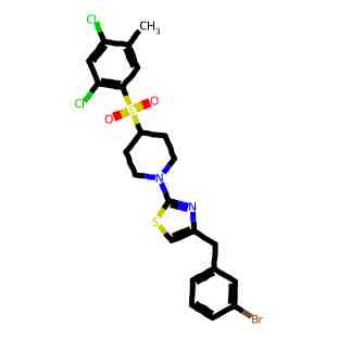 Cc1cc(S(=O)(=O)C2CCN(c3nc(Cc4cccc(Br)c4)cs3)CC2)c(Cl)cc1Cl